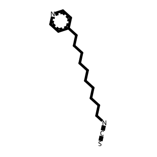 S=C=NCCCCCCCCCCc1ccncc1